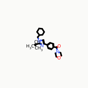 CC(C)(C)c1nc(-c2ccc(C(=O)N3CCOCC3)cc2)cn1CC1CCCCC1